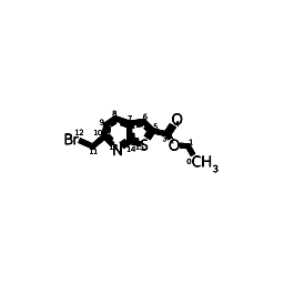 CCOC(=O)c1cc2ccc(CBr)nc2s1